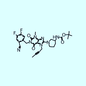 CC#CCn1c(N2CCCC(NC(=O)OC(C)(C)C)C2)nc2c1c(=O)n(Cc1cc(F)c(F)cc1C#N)c(=O)n2C